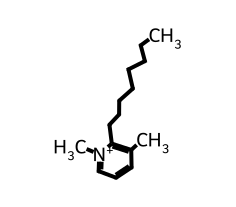 CCCCCCCCc1c(C)ccc[n+]1C